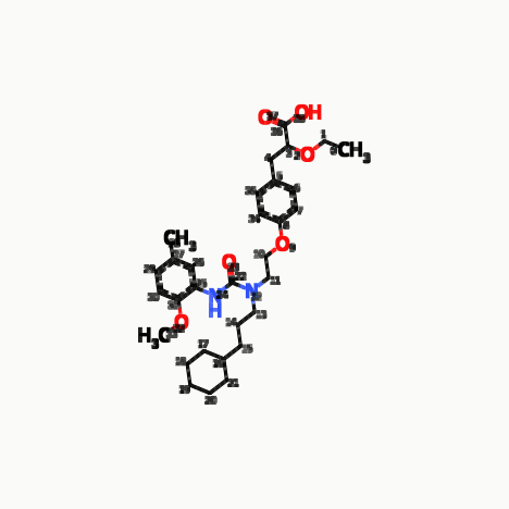 CCOC(Cc1ccc(OCCN(CCCC2CCCCC2)C(=O)Nc2cc(C)ccc2OC)cc1)C(=O)O